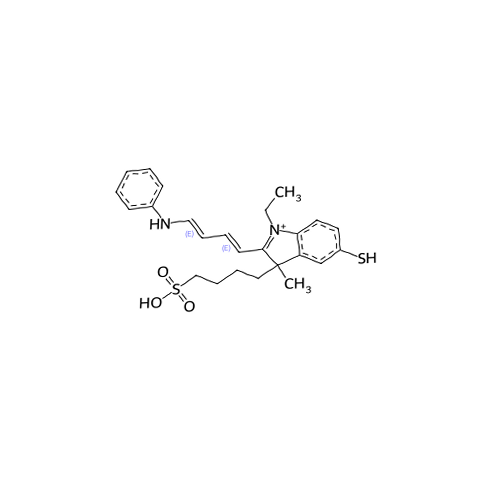 CC[N+]1=C(/C=C/C=C/Nc2ccccc2)C(C)(CCCCS(=O)(=O)O)c2cc(S)ccc21